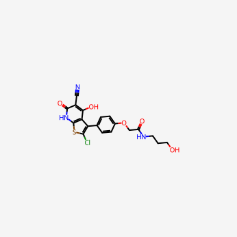 N#Cc1c(O)c2c(-c3ccc(OCC(=O)NCCCO)cc3)c(Cl)sc2[nH]c1=O